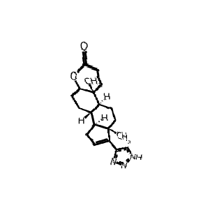 C[C@]12CCC(=O)OC1CC[C@@H]1[C@@H]2CC[C@]2(C)C(c3c[nH]nn3)=CC[C@@H]12